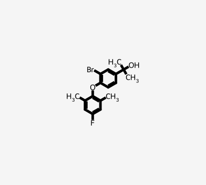 Cc1cc(F)cc(C)c1Oc1ccc(C(C)(C)O)cc1Br